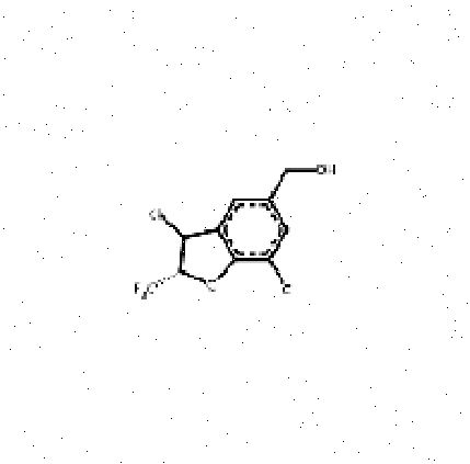 OCc1cc(Cl)c2c(c1)C(Cl)[C@@H](C(F)(F)F)O2